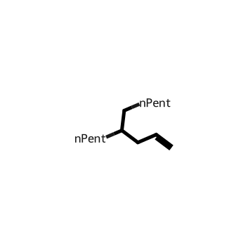 C=CCC(CCCCC)CCCCCC